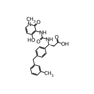 Cc1cccc(Cc2ccc([C@H](CC(=O)O)NC(=O)Nc3c(O)ccn(C)c3=O)cc2)c1